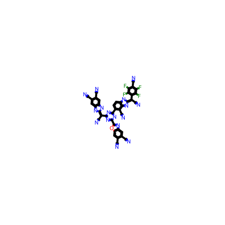 N#CC(=C1N=c2cc(C#N)c(C#N)cc2=N1)c1nc(-c2nc3cc(C#N)c(C#N)cc3o2)nc(-c2ccc3c(c2C#N)=N/C(=C(\C#N)c2c(F)c(F)c(C#N)c(F)c2F)N=3)n1